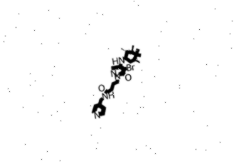 C[C@@H]1[C@@H](C)C(C)(C)[C@@H](C)C[C@H]1Nc1cnn(CCCC(=O)NCc2ccncc2)c(=O)c1Br